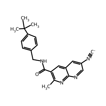 [C-]#[N+]c1cnc2nc(C)c(C(=O)NCc3ccc(C(C)(C)C)cc3)cc2c1